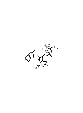 CC(C)(C)NS(=O)(=O)CCn1c(Cc2cc3c(cc2I)CCO3)nc2c(N)nc(F)nc21